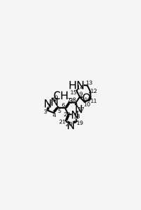 Cn1nccc1-c1cc(C23CCC(CNC2)O3)nn2cncc12